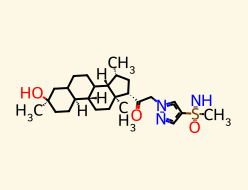 C[C@@H]1C[C@H](C(=O)Cn2cc(S(C)(=N)=O)cn2)[C@@]2(C)CC[C@H]3C(CCC4C[C@](C)(O)CC[C@@H]43)[C@H]12